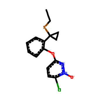 CCSC1(c2ccccc2Oc2ccc(Cl)[n+]([O-])n2)CC1